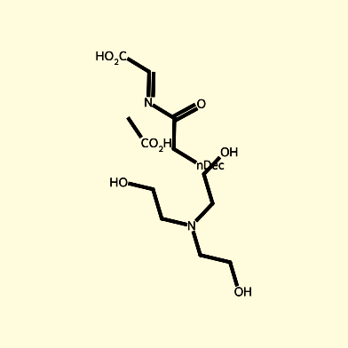 CC(=O)O.CCCCCCCCCCCC(=O)N=CC(=O)O.OCCN(CCO)CCO